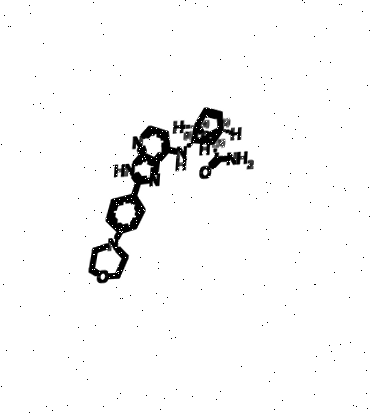 NC(=O)[C@@H]1[C@H](Nc2ccnc3[nH]c(-c4ccc(N5CCOCC5)cc4)nc23)[C@@H]2B[C@H]1C=C2